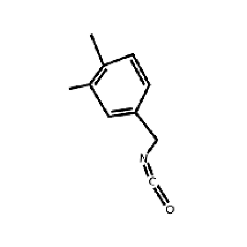 Cc1ccc(CN=C=O)cc1C